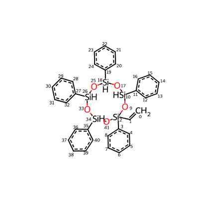 C=C[Si]1(c2ccccc2)O[SiH](c2ccccc2)O[SiH](c2ccccc2)O[SiH](c2ccccc2)O[SiH](c2ccccc2)O1